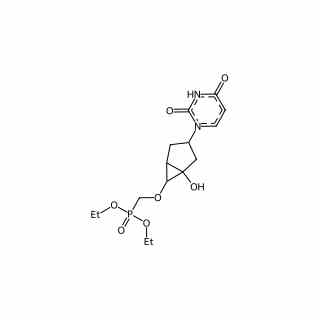 CCOP(=O)(COC1C2CC(n3ccc(=O)[nH]c3=O)CC21O)OCC